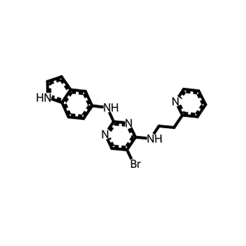 Brc1cnc(Nc2ccc3[nH]ccc3c2)nc1NCCc1ccccn1